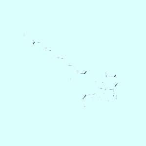 CC/C=C\C[C@H]1[C@H](CC(=O)[C@@H](O)CCCCCCCC(=O)O)O[C@@]2(O)CC13C(=CC2=O)NC[C@H]3O